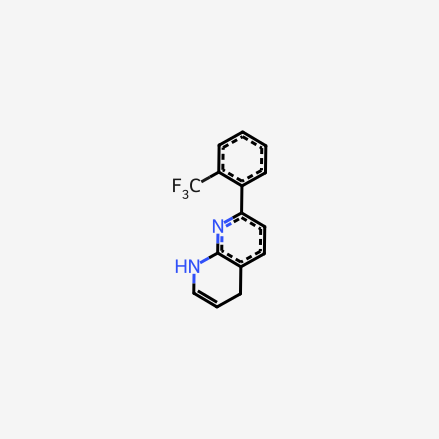 FC(F)(F)c1ccccc1-c1ccc2c(n1)NC=CC2